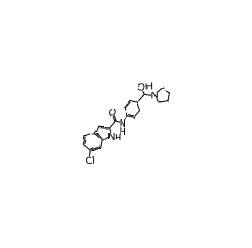 O=C(NC1=CCC(C(O)N2CCCC2)C=C1)c1cc2ccc(Cl)cc2[nH]1